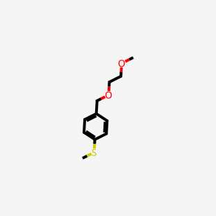 COCCOCc1ccc(SC)cc1